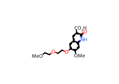 COCCOCCOc1cc2cc(C(=O)O)c(=O)[nH]c2cc1OC